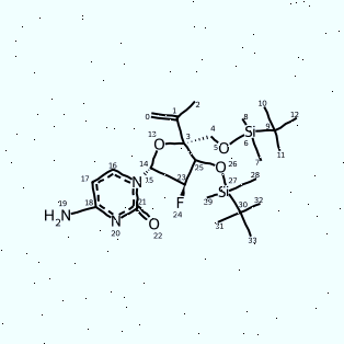 C=C(C)[C@]1(CO[Si](C)(C)C(C)(C)C)O[C@@H](n2ccc(N)nc2=O)[C@H](F)C1O[Si](C)(C)C(C)(C)C